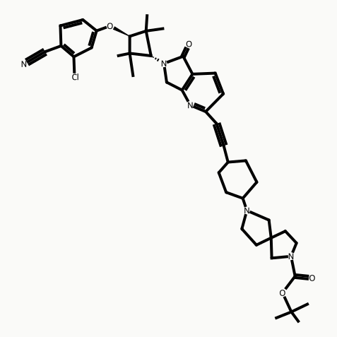 CC(C)(C)OC(=O)N1CCC2(CCN(C3CCC(C#Cc4ccc5c(n4)CN([C@H]4C(C)(C)[C@H](Oc6ccc(C#N)c(Cl)c6)C4(C)C)C5=O)CC3)C2)C1